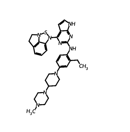 CCc1cc(N2CCC(N3CCN(C)CC3)CC2)ccc1Nc1nc(N2SN3CCc4cccc2c43)c2cc[nH]c2n1